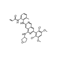 C=CC(=O)Nc1cccc(C)c1Nc1cc2c(NC3CCOC3)nc(-c3c(Cl)c(OC)cc(OC)c3Cl)cc2cn1